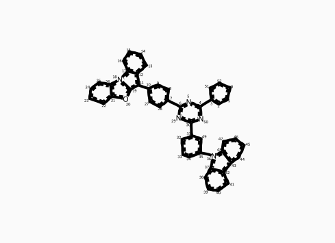 c1ccc(-c2nc(-c3ccc(-c4c5ccccc5n5c4oc4ccccc45)cc3)nc(-c3cccc(-n4c5ccccc5c5ccccc54)c3)n2)cc1